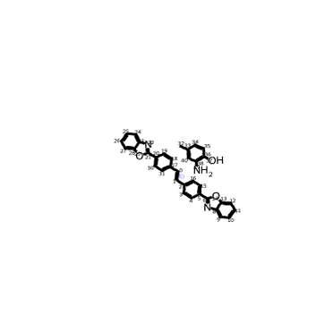 C(=C\c1ccc(-c2nc3ccccc3o2)cc1)/c1ccc(-c2nc3ccccc3o2)cc1.Cc1ccc(O)c(N)c1